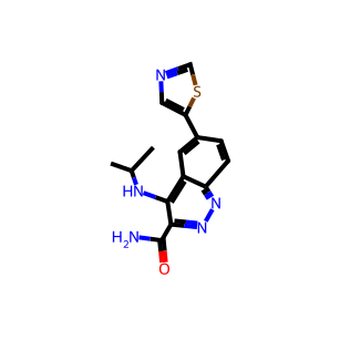 CC(C)Nc1c(C(N)=O)nnc2ccc(-c3cncs3)cc12